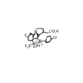 O=C(O)CC1CCn2c1c(Sc1ccc(Cl)cc1)c1c(C(O)(C(F)(F)F)C(F)(F)F)cc(F)cc12